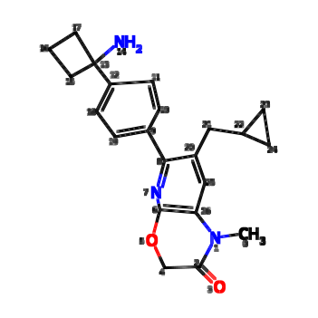 CN1C(=O)COc2nc(-c3ccc(C4(N)CCC4)cc3)c(CC3CC3)cc21